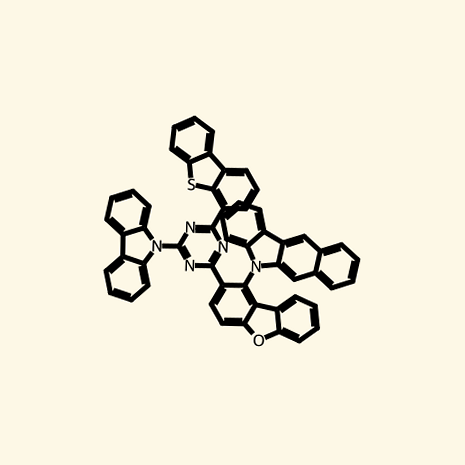 c1ccc2cc3c(cc2c1)c1ccccc1n3-c1c(-c2nc(-c3cccc4c3sc3ccccc34)nc(-n3c4ccccc4c4ccccc43)n2)ccc2oc3ccccc3c12